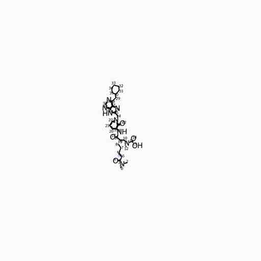 CN(C)C(=O)/C=C/CC[C@@H](CN(C)C(=O)O)C(=O)Nc1cccn(Cc2nc3c(CC4CCCCC4)ncnc3[nH]2)c1=O